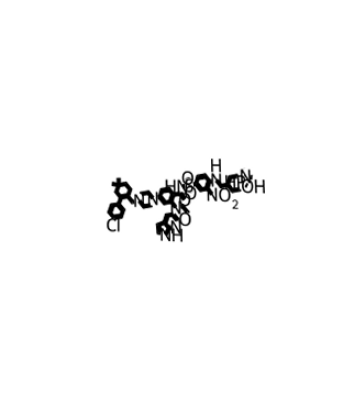 CN(C)[PH]1(O)CCC(CNc2ccc(S(=O)(=O)NC(=O)c3ccc(N4CCN(CC5=C(c6ccc(Cl)cc6)CC(C)(C)CC5)CC4)cc3N3CCOc4nc5[nH]ccc5cc43)cc2[N+](=O)[O-])CC1